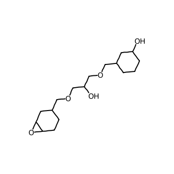 OC(COCC1CCCC(O)C1)COCC1CCC2OC2C1